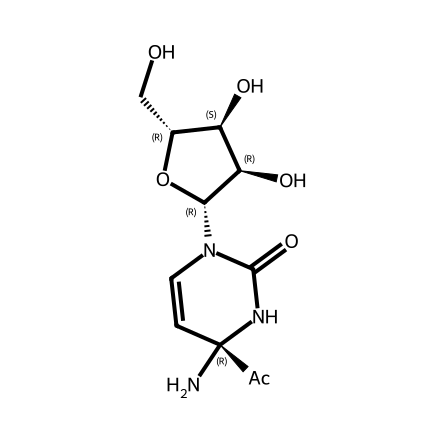 CC(=O)[C@@]1(N)C=CN([C@@H]2O[C@H](CO)[C@@H](O)[C@H]2O)C(=O)N1